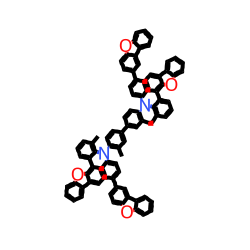 Cc1cc(-c2ccc(N(c3ccc(-c4ccc5oc6ccccc6c5c4)cc3)c3c(C)cccc3-c3cccc4c3oc3ccccc34)c(C)c2)ccc1N(c1ccc(-c2ccc3oc4ccccc4c3c2)cc1)c1c(C)cccc1-c1cccc2c1oc1ccccc12